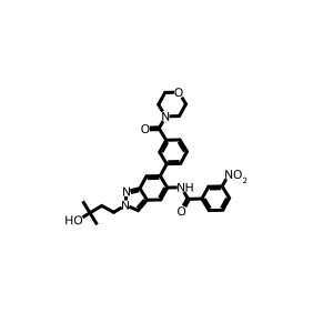 CC(C)(O)CCn1cc2cc(NC(=O)c3cccc([N+](=O)[O-])c3)c(-c3cccc(C(=O)N4CCOCC4)c3)cc2n1